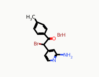 Br.Cc1ccc(C(=O)C(Br)c2ccnc(N)c2)cc1